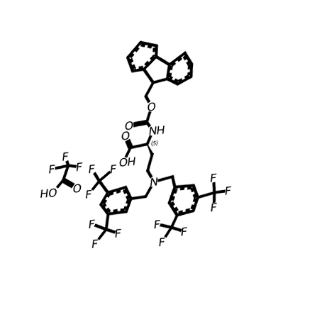 O=C(N[C@@H](CCN(Cc1cc(C(F)(F)F)cc(C(F)(F)F)c1)Cc1cc(C(F)(F)F)cc(C(F)(F)F)c1)C(=O)O)OCC1c2ccccc2-c2ccccc21.O=C(O)C(F)(F)F